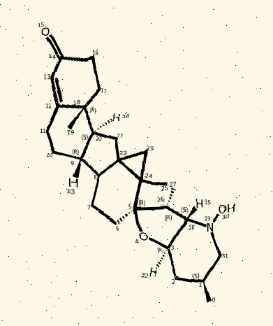 C[C@H]1C[C@H]2O[C@]3(CCC4[C@@H]5CCC6=CC(=O)CC[C@]6(C)[C@H]5CC45CC53C)[C@H](C)[C@@H]2N(O)C1